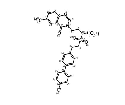 Cc1ccc2nnn(CCC(C(=O)O)S(=O)(=O)CCc3ccc(-c4ccc(Cl)cc4)cc3)c(=O)c2c1